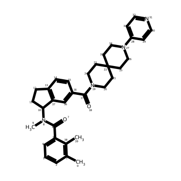 Cc1cccc(C(=O)N(C)C2CCc3ccc(C(=O)N4CCC5(CC4)CCN(c4ccncc4)CC5)cc32)c1C